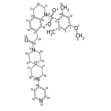 COc1cc(C)c(S(=O)(=O)N2CCCc3ccc(CC(=O)N4CCC5(CC4)CCN(c4ccncc4)CC5)cc32)c(C)c1